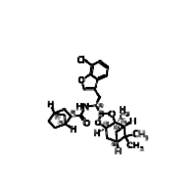 CC1(C)[C@@H]2C[C@H]3OB([C@H](Cc4coc5c(Cl)cccc45)NC(=O)[C@@H]4C[C@H]5CC[C@@H]4C5)O[C@@]3(C)[C@H]1C2